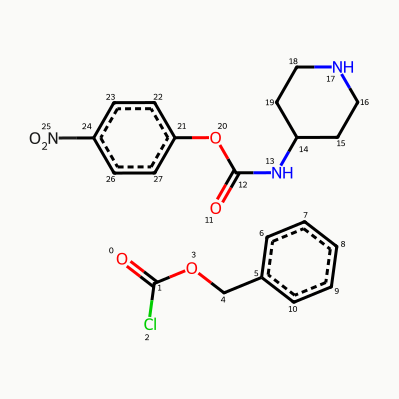 O=C(Cl)OCc1ccccc1.O=C(NC1CCNCC1)Oc1ccc([N+](=O)[O-])cc1